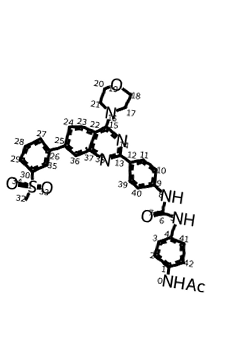 CC(=O)Nc1ccc(NC(=O)Nc2ccc(-c3nc(N4CCOCC4)c4ccc(-c5cccc(S(C)(=O)=O)c5)cc4n3)cc2)cc1